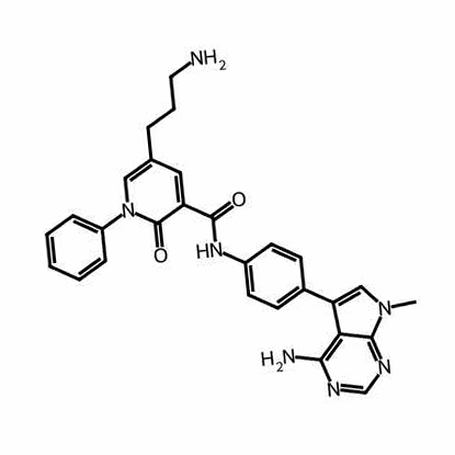 Cn1cc(-c2ccc(NC(=O)c3cc(CCCN)cn(-c4ccccc4)c3=O)cc2)c2c(N)ncnc21